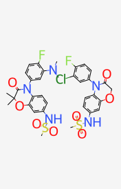 CN(C)c1cc(N2C(=O)C(C)(C)Oc3cc(NS(C)(=O)=O)ccc32)ccc1F.CS(=O)(=O)Nc1ccc2c(c1)OCC(=O)N2c1ccc(F)c(Cl)c1